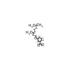 CC(C)CCC[C@@H](C)CCOc1cccc(C(=O)Cl)c1